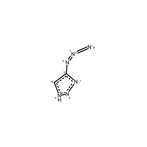 [N-]=[N+]=Nc1c[nH]nn1